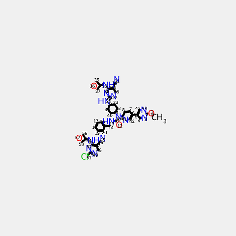 COc1ncc(-c2ccc(N(C(=O)NCc3ccccc3)C3CCC(Nc4ncc(C#N)c(NC5COC5)n4)CC3)nc2)cn1.N#Cc1cnc(Cl)nc1NC1COC1